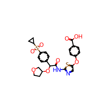 O=C(O)c1ccc(Oc2cnc(NC(=O)C(O[C@H]3CCOC3)c3ccc(S(=O)(=O)C4CC4)cc3)s2)cc1